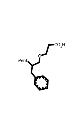 CCCC(C)C(COCCC(=O)O)Cc1ccccc1